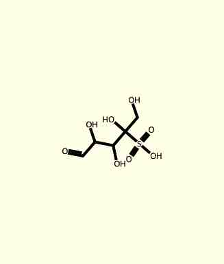 O=CC(O)C(O)C(O)(CO)S(=O)(=O)O